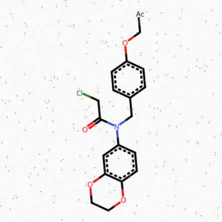 CC(=O)COc1ccc(CN(C(=O)CCl)c2ccc3c(c2)OCCO3)cc1